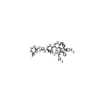 CC(C)n1c(=O)n(C)c2nnc3ccc(-c4ccc(COCCN5CCCC(F)C5)nc4)cc3c21